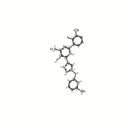 Cc1c(C#N)cccc1-c1nc(N)c(F)c(-c2cn(Cc3cccc(C(C)(C)C)n3)nn2)n1